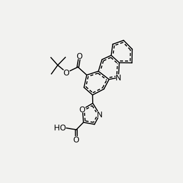 CC(C)(C)OC(=O)c1cc(-c2ncc(C(=O)O)o2)cc2nc3ccccc3cc12